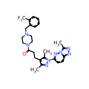 Cc1nn(-c2ccc3nnc(C)n3n2)c(C)c1CCC(=O)N1CCN(Cc2ccccc2C(F)(F)F)CC1